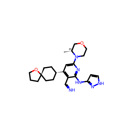 C[C@@H]1COCCN1c1cc([C@H]2CC[C@]3(CCCO3)CC2)c(C=N)c(Nc2cc[nH]n2)n1